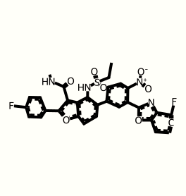 CCS(=O)(=O)Nc1c(-c2ccc([N+](=O)[O-])c(-c3nc4c(F)cccc4o3)c2)ccc2oc(-c3ccc(F)cc3)c(C(=O)NC)c12